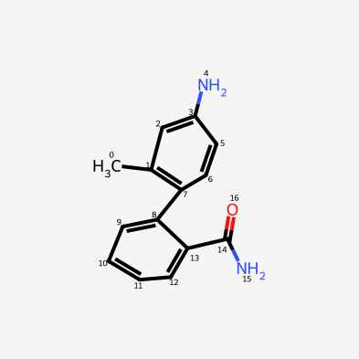 Cc1cc(N)ccc1-c1ccccc1C(N)=O